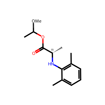 COC(C)OC(=O)[C@H](C)Nc1c(C)cccc1C